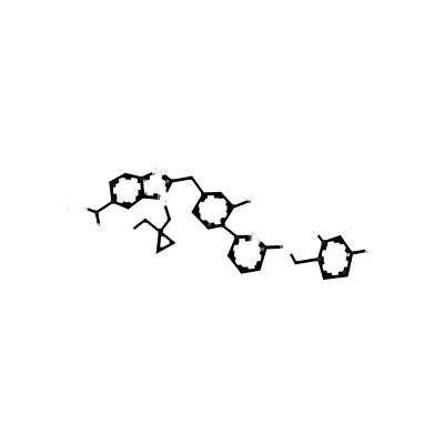 OC(O)c1ccc2nc(Cc3ccc(-c4cccc(OCc5ccc(Cl)cc5F)n4)c(F)c3)n(CC3(CF)CC3)c2c1